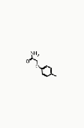 [CH2]c1ccc(OCC(N)=O)cc1